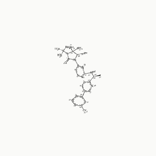 BC(B)(B)N1C(=O)N(c2ccnc(N[C@@H](C)c3ccc(-c4cccc(C(F)(F)F)c4)cn3)n2)C(C(C)C)C1(B)B